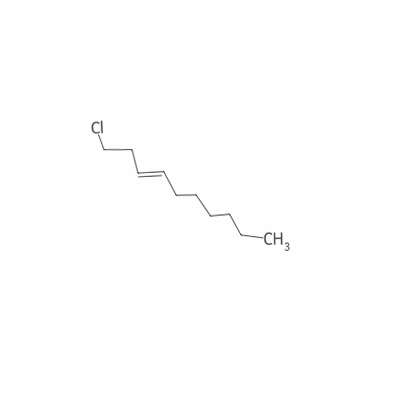 CCCCCCC=CCCCl